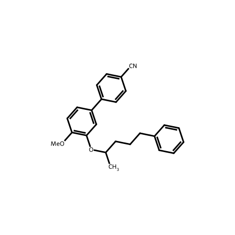 COc1ccc(-c2ccc(C#N)cc2)cc1OC(C)CCCc1ccccc1